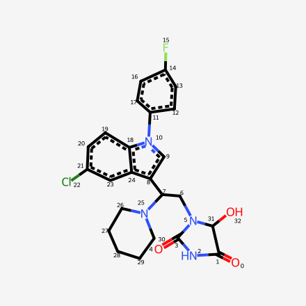 O=C1NC(=O)N(CC(c2cn(-c3ccc(F)cc3)c3ccc(Cl)cc23)N2CCCCC2)C1O